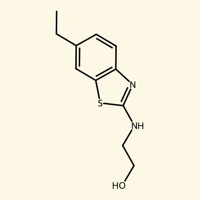 CCc1ccc2nc(NCCO)sc2c1